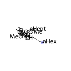 C=CCOP(=O)(OCC=C)O[C@H]1[C@H](OCC[C@@H](CCCCCCC)OC)[C@@H](OC(=O)CCCCCCCCC/C=C\CCCCCC)[C@@H](O)O[C@@H]1COC